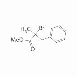 COC(=O)C(C)(Br)Cc1ccccc1